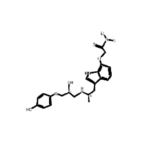 CCN(CC)C(=O)COc1cccc2c(C[C@@H](C)NC[C@H](O)COc3ccc(O)cc3)c[nH]c12